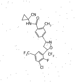 Cc1cc(C2=NO[C@](c3cc(C(F)(F)F)cc(Cl)c3F)(C(F)(F)F)C2)ccc1C(=O)NC1(C#N)CC1